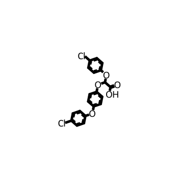 O=C(O)C(Oc1ccc(Cl)cc1)Oc1ccc(Oc2ccc(Cl)cc2)cc1